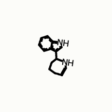 C1=CNC(c2c[nH]c3ccccc23)CCC1